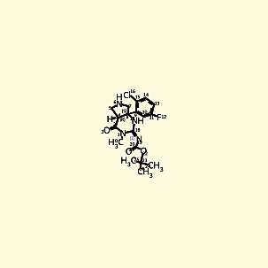 CN1C(=O)[C@@H]2CNC[C@]2(c2cc(F)ccc2Cl)N/C1=N/C(=O)OC(C)(C)C